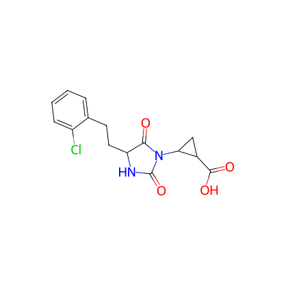 O=C(O)C1CC1N1C(=O)NC(CCc2ccccc2Cl)C1=O